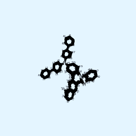 c1ccc(-c2ccc(N(c3ccc(-c4ccccc4)cc3)c3ccc4c(c3)c3cc5ccccc5cc3c3nc5ccccc5n43)cc2)cc1